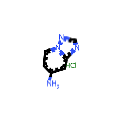 Cl.Nc1ccn2ncnc2c1